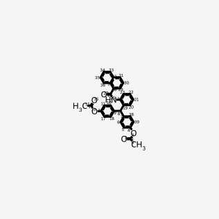 CC(=O)Oc1ccc(C(c2ccc(OC(C)=O)cc2)c2ccccc2NC(=O)c2cccc3ccccc23)cc1